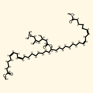 COC(=O)CCCC/C=C\C/C=C\CCCCCCCCC(CCCCCCCC/C=C\C/C=C\CCCCC(=O)OC)OC(=O)CC(C)CC(C)CN(C)C